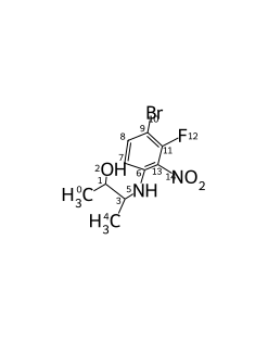 CC(O)C(C)Nc1ccc(Br)c(F)c1[N+](=O)[O-]